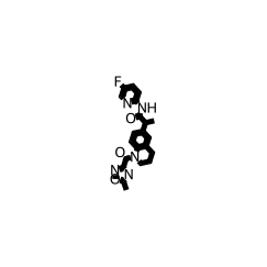 Cc1nc(C(=O)N2CCCc3cc(C(C)C(=O)Nc4ccc(F)cn4)ccc32)no1